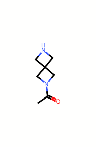 CC(=O)N1CC2(CNC2)C1